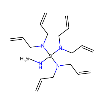 C=CCN(CC=C)[Si](N[SiH3])(N(CC=C)CC=C)N(CC=C)CC=C